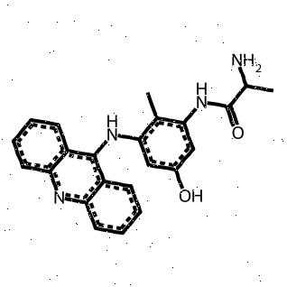 Cc1c(NC(=O)C(C)N)cc(O)cc1Nc1c2ccccc2nc2ccccc12